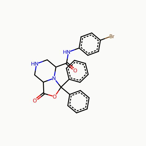 O=C(Nc1ccc(Br)cc1)C1CNCC2C(=O)OC(c3ccccc3)(c3ccccc3)N12